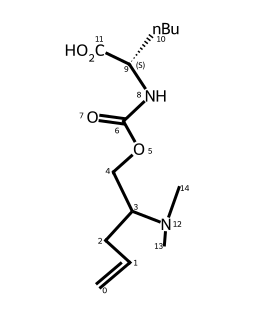 C=CCC(COC(=O)N[C@@H](CCCC)C(=O)O)N(C)C